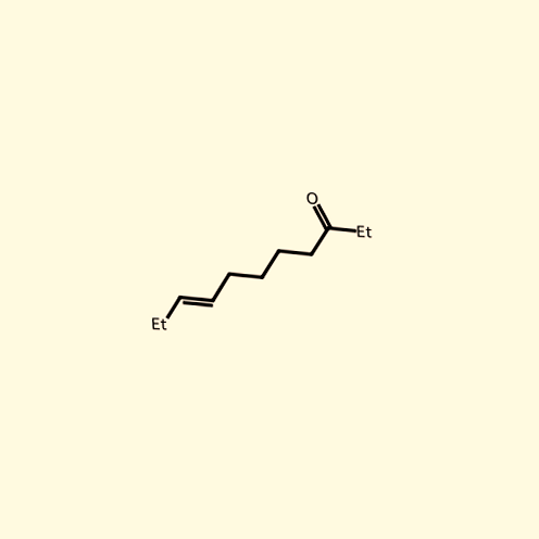 CCC=CCCCCC(=O)CC